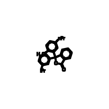 CCCc1ccc(C)c(C2(c3cccc(C(C)C)c3)OC(=O)c3ccccc32)c1